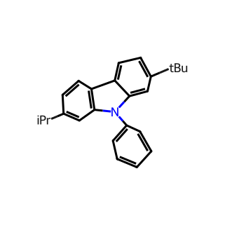 CC(C)c1ccc2c3ccc(C(C)(C)C)cc3n(-c3ccccc3)c2c1